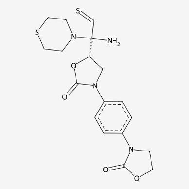 NC(C=S)([C@@H]1CN(c2ccc(N3CCOC3=O)cc2)C(=O)O1)N1CCSCC1